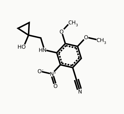 COc1cc(C#N)c([N+](=O)[O-])c(NCC2(O)CC2)c1OC